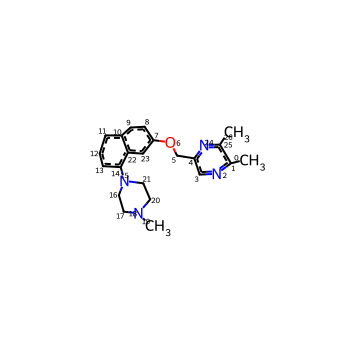 Cc1ncc(COc2ccc3cccc(N4CCN(C)CC4)c3c2)nc1C